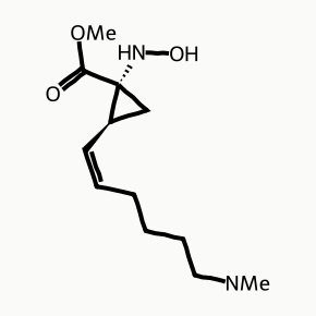 CNCCCC/C=C\[C@@H]1C[C@]1(NO)C(=O)OC